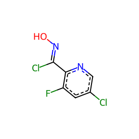 O/N=C(\Cl)c1ncc(Cl)cc1F